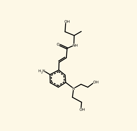 CC(CO)NC(=O)C=Cc1cc(N(CCO)CCO)ccc1N